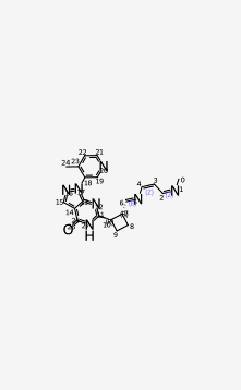 C\N=C/C=C\N=C\[C@@H]1CC[C@H]1c1nc2c(cnn2-c2cnccc2C)c(=O)[nH]1